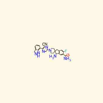 N#Cc1nc(N2CCC3(CC2)Cc2cc(F)c(C(N)=O)cc2[C@H]3N)cnc1-c1cccc2cn[nH]c12